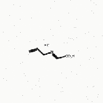 C=CCN=CC(=O)O.Cl